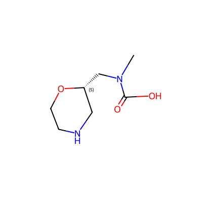 CN(C[C@@H]1CNCCO1)C(=O)O